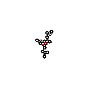 CC1(C)c2ccc(-c3ccccc3N(c3ccc(-c4cccc5c4oc4ccccc45)cc3)c3ccc(-c4cccc5c4oc4ccccc45)cc3)cc2-c2ccc(-c3cccc4c3c3ccccc3n4-c3ccccc3)cc21